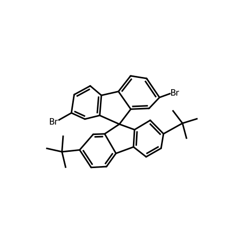 CC(C)(C)c1ccc2c(c1)C1(c3cc(Br)ccc3-c3ccc(Br)cc31)c1cc(C(C)(C)C)ccc1-2